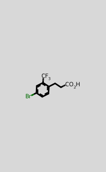 O=C(O)CCc1ccc(Br)cc1C(F)(F)F